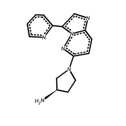 N[C@@H]1CCN(c2ccc3ncc(-c4ccccn4)n3n2)C1